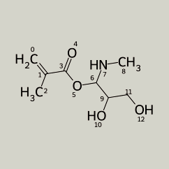 C=C(C)C(=O)OC(NC)C(O)CO